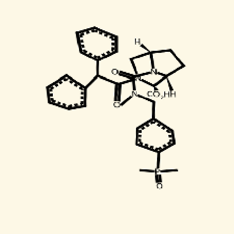 CN(Cc1ccc(P(C)(C)=O)cc1)C(=O)N1[C@H]2CC[C@@H]1[C@@H](C(=O)O)N(C(=O)C(c1ccccc1)c1ccccc1)C2